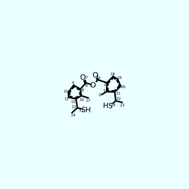 Cc1c(C(=O)OC(=O)c2cccc(C(C)S)c2C)cccc1C(C)S